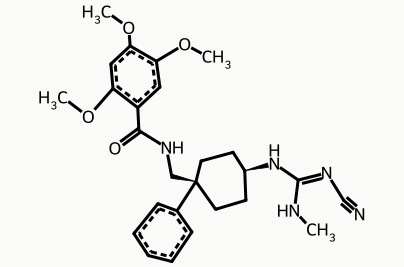 CN/C(=N\C#N)N[C@H]1CC[C@](CNC(=O)c2cc(OC)c(OC)cc2OC)(c2ccccc2)CC1